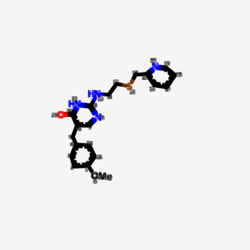 COc1ccc(Cc2cnc(NCCSCc3ccccn3)[nH]c2=O)cc1